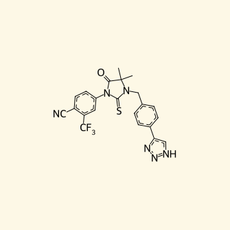 CC1(C)C(=O)N(c2ccc(C#N)c(C(F)(F)F)c2)C(=S)N1Cc1ccc(-c2c[nH]nn2)cc1